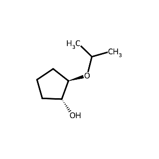 CC(C)O[C@@H]1CCC[C@H]1O